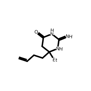 C=CCCC1(CC)CC(=O)NC(=N)N1